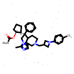 CNC(=O)O[C@H]1CCC[C@@H]1C(Cn1ccnc1C)(c1ccccc1)C1CCN(CC2CN(c3ccc(C(F)(F)F)cc3)C2)CC1